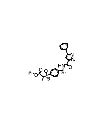 CC(C)OC(=O)C(C)S(=O)(=O)c1ccc([C@@H](C)NC(=O)c2cc(-c3ccccc3)nn2C)cc1